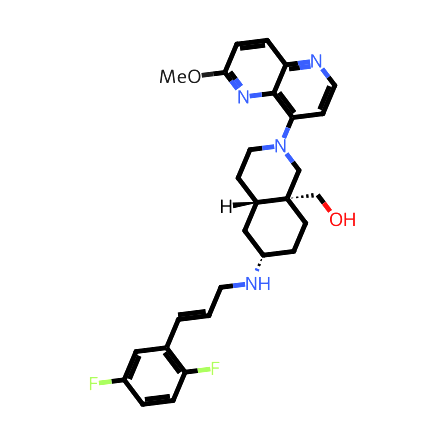 COc1ccc2nccc(N3CC[C@H]4C[C@@H](NCC=Cc5cc(F)ccc5F)CC[C@]4(CO)C3)c2n1